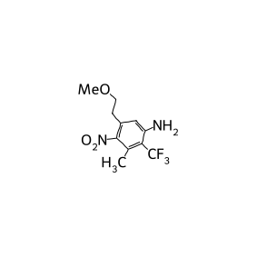 COCCc1cc(N)c(C(F)(F)F)c(C)c1[N+](=O)[O-]